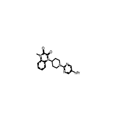 CCCc1cnc(N2CCC(n3c(=O)c(=O)n(C)c4ccccc43)CC2)nc1